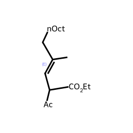 CCCCCCCCC/C(C)=C/C(C(C)=O)C(=O)OCC